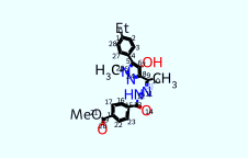 CCc1ccc(-c2c(O)c(/C(C)=N\NC(=O)c3ccc(C(=O)OC)cc3)nn2C)cc1